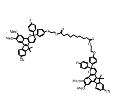 COc1cc2c3c(c4c(c2cc1OC)-c1ccc(C#N)cc1C4(C)C)C=CC(c1ccc(F)cc1)(c1ccc(OCCOC(=O)CCCCCCCCC(=O)OCCOc2ccc(C4(c5ccc(F)cc5)C=Cc5c6c(c7cc(OC)c(OC)cc7c5O4)-c4ccc(C#N)cc4C6(C)C)cc2)cc1)O3